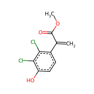 C=C(C(=O)OC)c1ccc(O)c(Cl)c1Cl